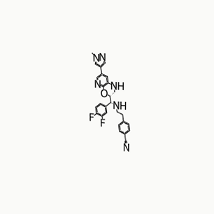 Cn1cc(-c2cnc3c(c2)NC[C@H]([C@H](NCCc2ccc(C#N)cc2)c2ccc(F)c(F)c2)O3)cn1